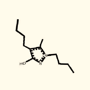 CCCCc1c(O)nn(CCCC)c1C